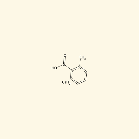 Cc1ccccc1S(=O)O.[CaH2]